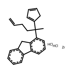 C=CCCC(C)(C1=CC=CC1)c1cccc2c1Cc1ccccc1-2.Cl.Cl.[Zr]